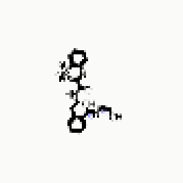 C/C=C\N=C(/C)c1ccccc1CCNC(=O)C1=Nc2ccccc2S(=O)(=O)N1